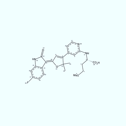 CSCC[C@H](Nc1cc(C2=C/C(=C3\C(=O)Nc4cc(F)ccc43)OC2(C)C)ccn1)C(=O)O